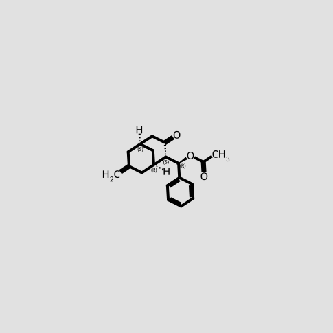 C=C1C[C@H]2CC(=O)[C@H]([C@@H](OC(C)=O)c3ccccc3)[C@@H](C1)C2